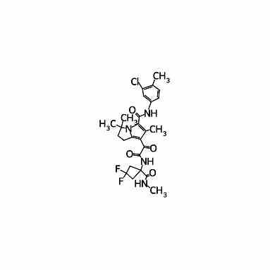 CNC(=O)C1(NC(=O)C(=O)c2c(C)c(C(=O)Nc3ccc(C)c(Cl)c3)n3c2CCC3(C)C)CC(F)(F)C1